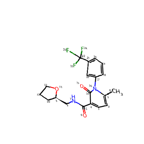 Cc1ccc(C(=O)NC[C@H]2CCCO2)c(=O)n1-c1cccc(C(F)(F)F)c1